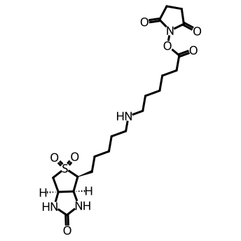 O=C1N[C@H]2[C@H](CS(=O)(=O)[C@H]2CCCCCNCCCCCC(=O)ON2C(=O)CCC2=O)N1